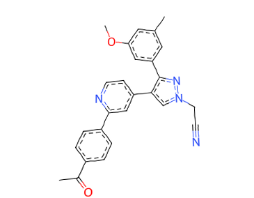 COc1cc(C)cc(-c2nn(CC#N)cc2-c2ccnc(-c3ccc(C(C)=O)cc3)c2)c1